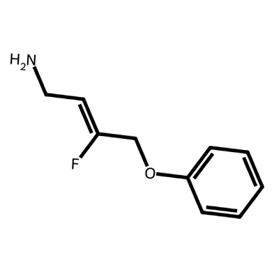 NCC=C(F)COc1ccccc1